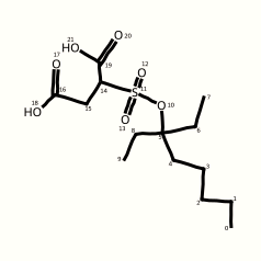 CCCCCC(CC)(CC)OS(=O)(=O)C(CC(=O)O)C(=O)O